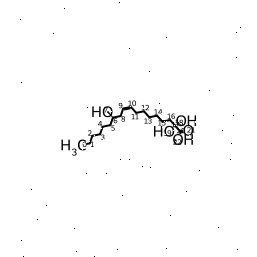 CCCCCC[C@@H](O)C/C=C\CCCCCCC(O)(O)C(=O)O